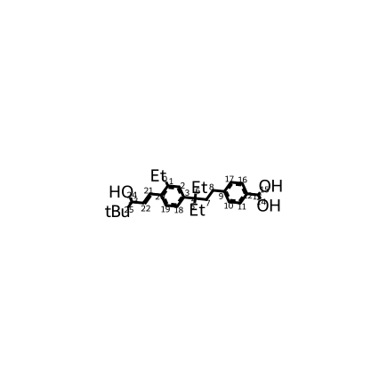 CCc1cc(C(CC)(CC)CCc2ccc(C(O)O)cc2)ccc1C=CC(O)C(C)(C)C